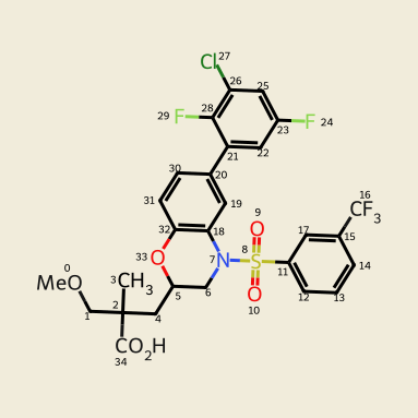 COCC(C)(CC1CN(S(=O)(=O)c2cccc(C(F)(F)F)c2)c2cc(-c3cc(F)cc(Cl)c3F)ccc2O1)C(=O)O